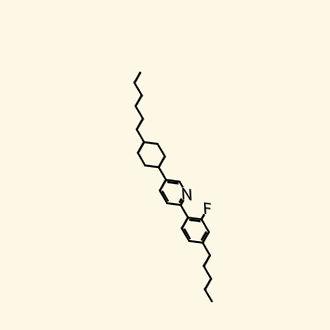 CCCCCCC1CCC(c2ccc(-c3ccc(CCCCC)cc3F)nc2)CC1